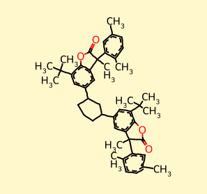 Cc1ccc(C)c(C2(C)C(=O)Oc3c(C(C)(C)C)cc(C4CCCC(c5cc(C(C)(C)C)c6c(c5)C(C)(c5cc(C)ccc5C)C(=O)O6)C4)cc32)c1